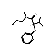 CCCN(C)C(=O)[C@](C)(Oc1ccccc1)C(C)C